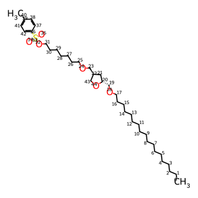 CCCCCCCCCCCCCCCCCCOC[C@H]1C[C@H](COCCCCCCCOS(=O)(=O)c2ccc(C)cc2)CO1